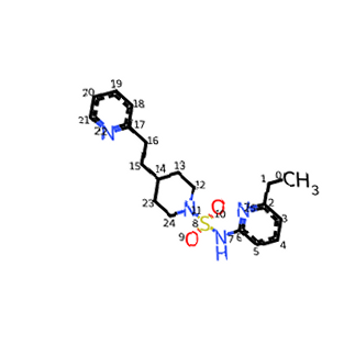 CCc1cccc(NS(=O)(=O)N2CCC(CCc3ccccn3)CC2)n1